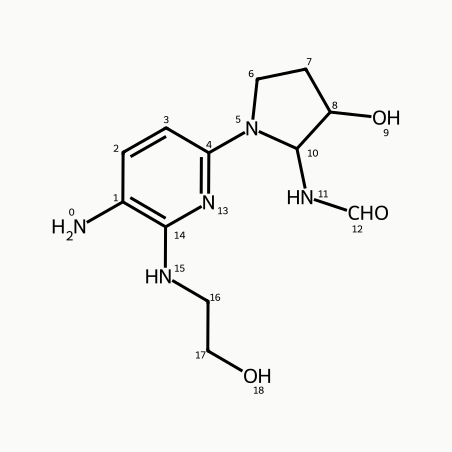 Nc1ccc(N2CCC(O)C2NC=O)nc1NCCO